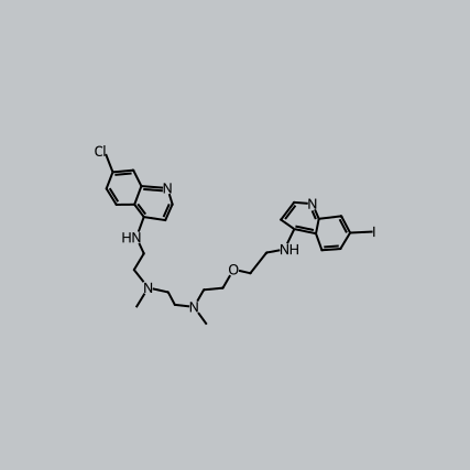 CN(CCNc1ccnc2cc(Cl)ccc12)CCN(C)CCOCCNc1ccnc2cc(I)ccc12